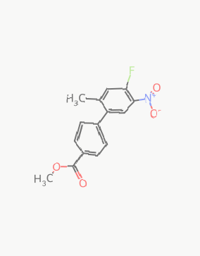 COC(=O)c1ccc(-c2cc([N+](=O)[O-])c(F)cc2C)cc1